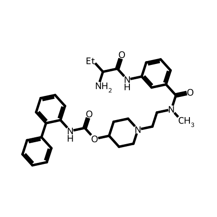 CCC(N)C(=O)Nc1cccc(C(=O)N(C)CCN2CCC(OC(=O)Nc3ccccc3-c3ccccc3)CC2)c1